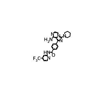 Nc1nccn2c(N3CCCCC3)nc(-c3ccc(C(=O)Nc4cc(C(F)(F)F)ccn4)cc3)c12